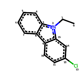 CCn1c2ccccc2c2ccc(Cl)cc21